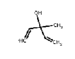 [CH]=CC(C)(O)C=C